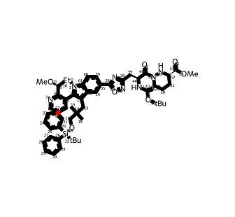 CCn1c(-c2cccnc2[C@H](C)OC)c(CC(C)(C)CO[Si](c2ccccc2)(c2ccccc2)C(C)(C)C)c2cc(-c3nc(C[C@H](NC(=O)OC(C)(C)C)C(=O)N4CCC[C@@H](C(=O)OC)N4)no3)ccc21